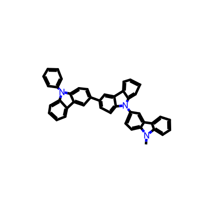 Cn1c2ccccc2c2cc(-n3c4ccccc4c4cc(-c5ccc6c(c5)c5ccccc5n6-c5ccccc5)ccc43)ccc21